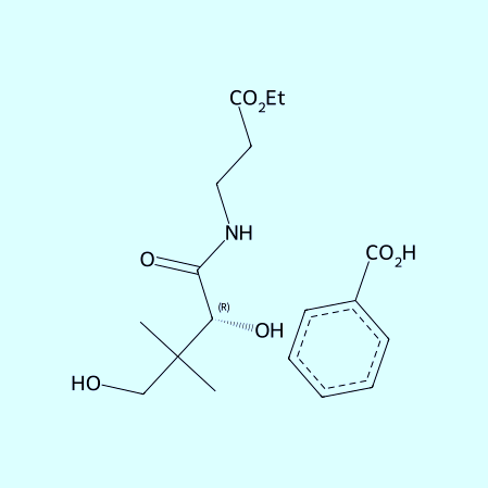 CCOC(=O)CCNC(=O)[C@H](O)C(C)(C)CO.O=C(O)c1ccccc1